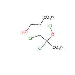 O=C(O)C(Cl)(CCl)OCl.O=C(O)CCO